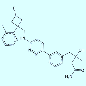 CC(O)(CC(N)=O)Cc1cccc(-c2ccc(NCC3(c4ncccc4F)CC(F)C3)nn2)c1